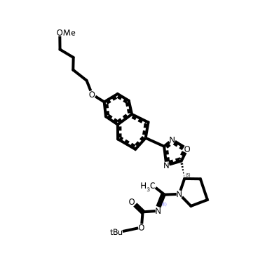 COCCCCOc1ccc2cc(-c3noc([C@@H]4CCCN4/C(C)=N/C(=O)OC(C)(C)C)n3)ccc2c1